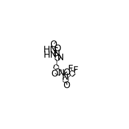 COC(=O)Nc1nc2ncc(-c3ccc4c(c3)CN(C(=O)N3CCC(=O)CC3c3ccc(F)c(F)c3)CCO4)cc2[nH]1